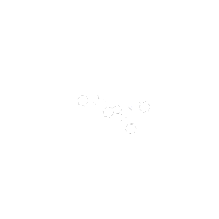 COc1cc(OC)c(F)c(N2Cc3cnc4c(cc(/C=C/c5ccccn5)n4S(=O)(=O)c4ccccc4)c3N(C)C2=O)c1F